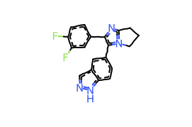 Fc1ccc(-c2nc3n(c2-c2ccc4[nH]ncc4c2)CCC3)cc1F